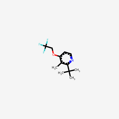 Cc1c(OCC(F)(F)F)ccnc1C(C)(C)C